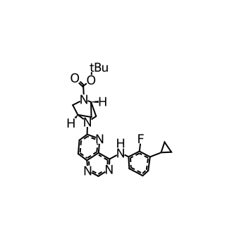 CC(C)(C)OC(=O)N1C[C@@H]2C[C@H]1CN2c1ccc2ncnc(Nc3cccc(C4CC4)c3F)c2n1